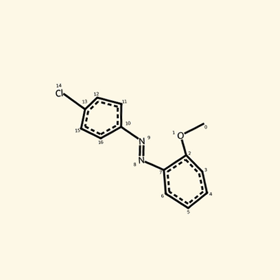 COc1ccccc1N=Nc1ccc(Cl)cc1